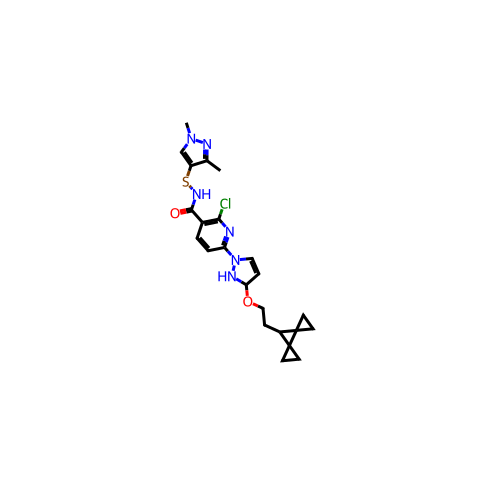 Cc1nn(C)cc1SNC(=O)c1ccc(N2C=CC(OCCC3C4(CC4)C34CC4)N2)nc1Cl